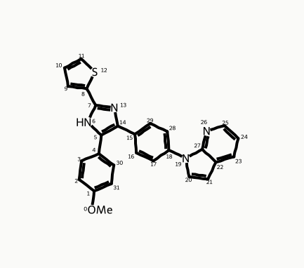 COc1ccc(-c2[nH]c(-c3cccs3)nc2-c2ccc(-n3ccc4cccnc43)cc2)cc1